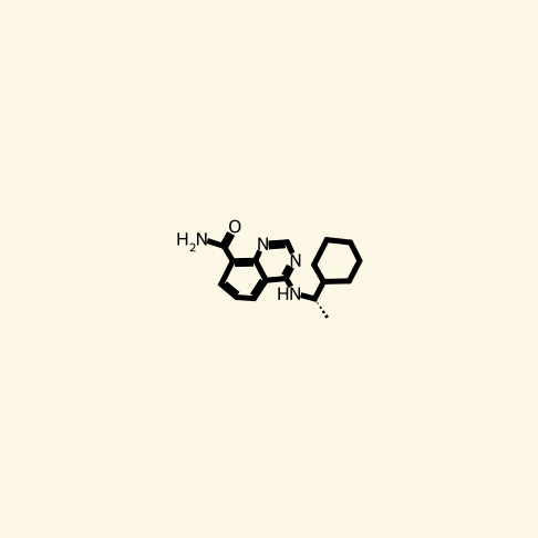 C[C@H](Nc1ncnc2c(C(N)=O)cccc12)C1CCCCC1